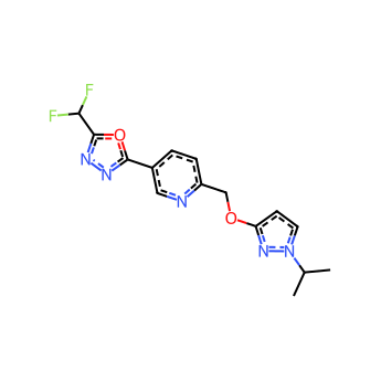 CC(C)n1ccc(OCc2ccc(-c3nnc(C(F)F)o3)cn2)n1